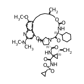 C=C[C@@H]1C[C@]1(NC(=O)[C@@H]1C[C@@H]2CN1C(=O)[C@H](C1CCCCC1)NC(=O)OCC(=C)CCCc1cc3c(cc(N(C)C)nc3cc1OC)O2)C(=O)NS(=O)(=O)C1CC1